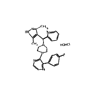 Cc1n[nH]c(C)c1C(c1ccccn1)N1CCN(c2nccnc2-c2ccc(F)cc2)CC1.Cl.Cl